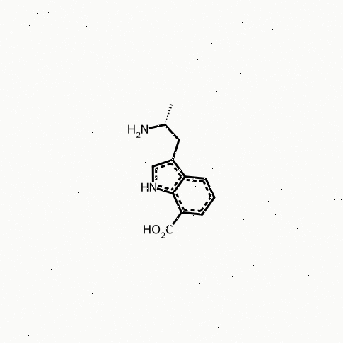 C[C@@H](N)Cc1c[nH]c2c(C(=O)O)cccc12